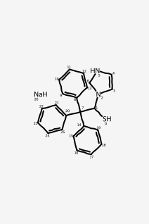 SC(N1C=CNC1)C(c1ccccc1)(c1ccccc1)c1ccccc1.[NaH]